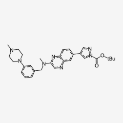 CN1CCN(c2cccc(CN(C)c3cnc4cc(-c5cnn(C(=O)OC(C)(C)C)c5)ccc4n3)c2)CC1